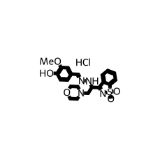 COc1cc(/C=N/NC(CN2CCOCC2)C2=NS(=O)(=O)c3ccccc32)ccc1O.Cl